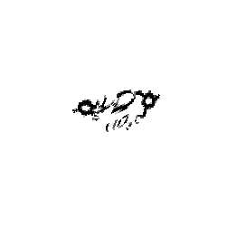 Cc1cc(CC(=O)O)cc(CN2CCCN(c3nc4ccc(C)cc4s3)CC2)c1